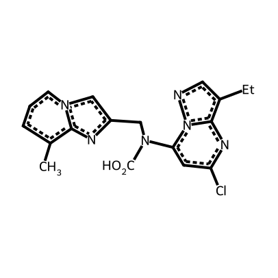 CCc1cnn2c(N(Cc3cn4cccc(C)c4n3)C(=O)O)cc(Cl)nc12